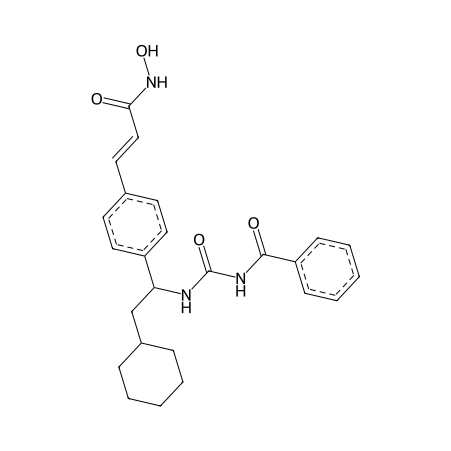 O=C(C=Cc1ccc(C(CC2CCCCC2)NC(=O)NC(=O)c2ccccc2)cc1)NO